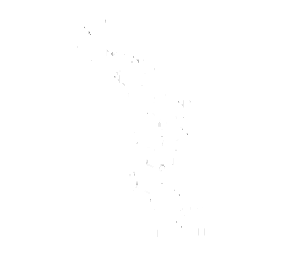 CCN(C)S(=O)(=O)Nc1ccc(Cl)c(C(=O)c2c[nH]c3ncc(-c4cnc(N5CCNCC5)nc4)cc23)c1F